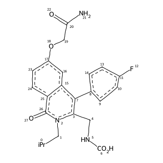 CC(C)Cn1c(CNC(=O)O)c(-c2ccc(F)cc2)c2cc(OCC(N)=O)ccc2c1=O